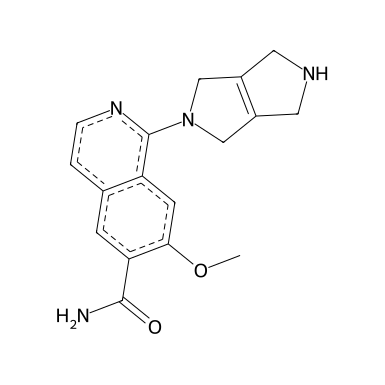 COc1cc2c(N3CC4=C(CNC4)C3)nccc2cc1C(N)=O